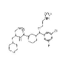 CNCC(CC1CCOCC1)NC(=O)N1CCCC(C(OCCNC(=O)O)c2cc(F)cc(Cl)c2)C1